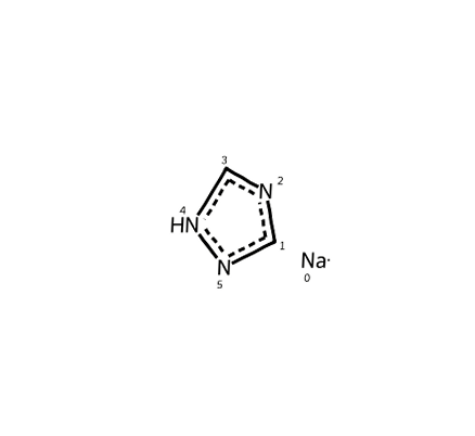 [Na].c1nc[nH]n1